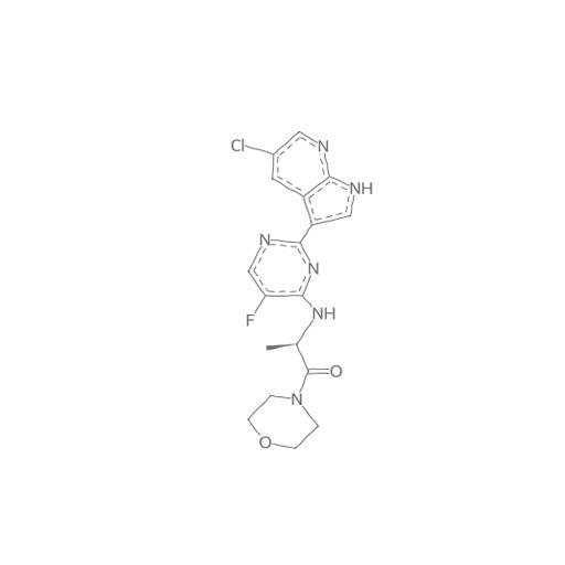 C[C@@H](Nc1nc(-c2c[nH]c3ncc(Cl)cc23)ncc1F)C(=O)N1CCOCC1